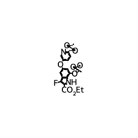 CCOC(=O)c1[nH]c2c(OS(C)(=O)=O)cc(Oc3ccc(S(C)(=O)=O)nc3)cc2c1F